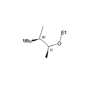 CCO[C@@H](C)[C@H](C)C(C)(C)C